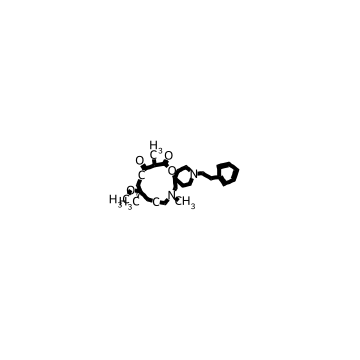 CO[C@]1(C)CCCN(C)CC2(CCN(CCc3ccccc3)CC2)OC(=O)C(C)C(=O)CC1